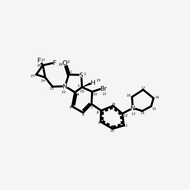 O=C1S[C@H]2C(=CC=C(c3cccc(N4CCCCC4)c3)C2Br)N1CC1CC1(F)F